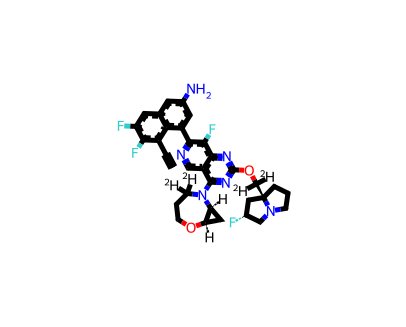 [2H]C1([2H])CCO[C@@H]2C[C@@H]2N1c1nc(OC([2H])([2H])[C@@]23CCCN2C[C@H](F)C3)nc2c(F)c(-c3cc(N)cc4cc(F)c(F)c(C#C)c34)ncc12